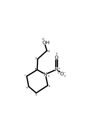 O=[N+]([O-])N1CCCCC1CCO